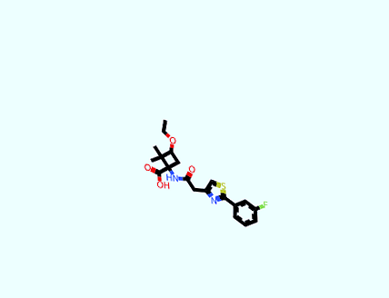 CCOC1CC(NC(=O)Cc2csc(-c3cccc(F)c3)n2)(C(=O)O)C1(C)C